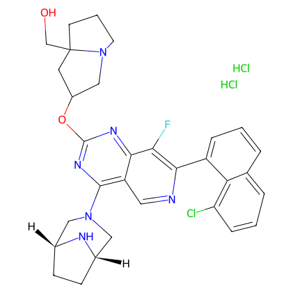 Cl.Cl.OCC12CCCN1CC(Oc1nc(N3C[C@H]4CC[C@@H](C3)N4)c3cnc(-c4cccc5cccc(Cl)c45)c(F)c3n1)C2